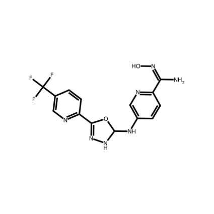 N/C(=N/O)c1ccc(NC2NN=C(c3ccc(C(F)(F)F)cn3)O2)cn1